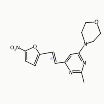 Cc1nc(/C=C/c2ccc([N+](=O)[O-])o2)cc(N2CCOCC2)n1